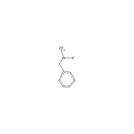 FN(Cc1ccccc1)C(F)(F)F